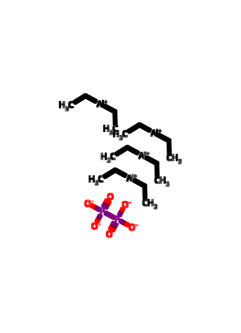 C[CH2][Al+][CH2]C.C[CH2][Al+][CH2]C.C[CH2][Al+][CH2]C.C[CH2][Al+][CH2]C.O=P([O-])([O-])P(=O)([O-])[O-]